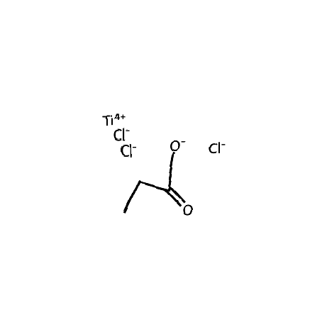 CCC(=O)[O-].[Cl-].[Cl-].[Cl-].[Ti+4]